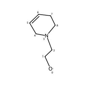 [O]CCN1CC=CCC1